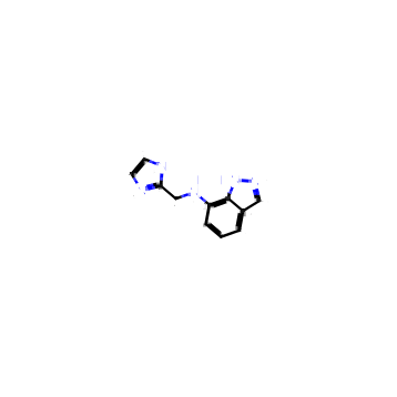 c1cc(NCc2ncc[nH]2)c2[nH]ncc2c1